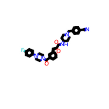 N#Cc1ccc(CN2CCC(NC(=O)c3cc4cc(C(=O)N5CCN(c6ccc(F)cc6)CC5)ccc4o3)CC2)cc1